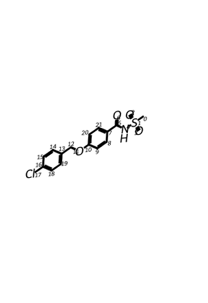 CS(=O)(=O)NC(=O)c1ccc(OCc2ccc(Cl)cc2)cc1